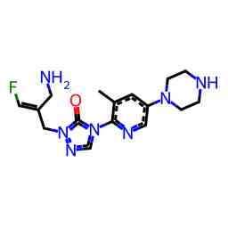 Cc1cc(N2CCNCC2)cnc1-n1cnn(C/C(=C/F)CN)c1=O